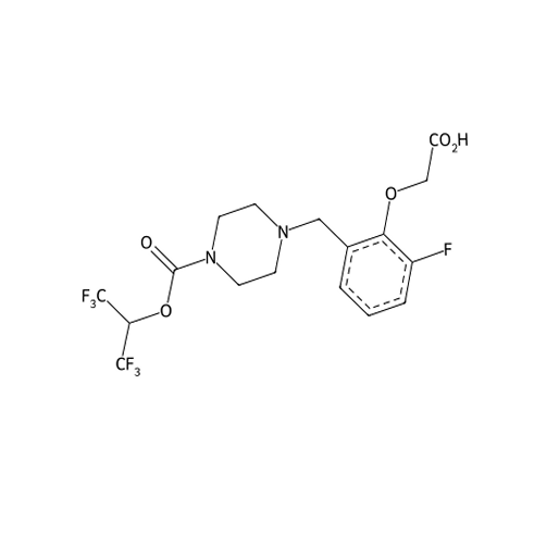 O=C(O)COc1c(F)cccc1CN1CCN(C(=O)OC(C(F)(F)F)C(F)(F)F)CC1